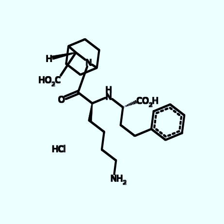 Cl.NCCCC[C@H](N[C@@H](CCc1ccccc1)C(=O)O)C(=O)N1C2CCC(CC2)[C@H]1C(=O)O